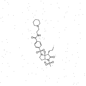 CCC[C@H]1C(=O)N(S(C)(=O)=O)[C@H]2CCN(S(=O)(=O)c3ccc(C(=O)NCCN4CCCCC4)cc3)[C@H]12